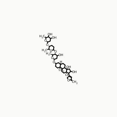 C=C1C=C(C2C(O)C[C@@]3(O)C4CC[C@H]5CC(O[C@@H]6CC(O)[C@@H](OC7CC[C@@H](OC8CC(O)C(O)C(C)O8)C(C)O7)C(C)O6)CC[C@@]5(C)C4CC[C@]23C)CO1